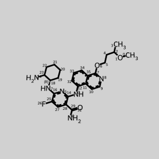 COC(C)CCOc1nccc2c(Nc3nc(N[C@@H]4CCCCC4N)c(F)cc3C(N)=O)cccc12